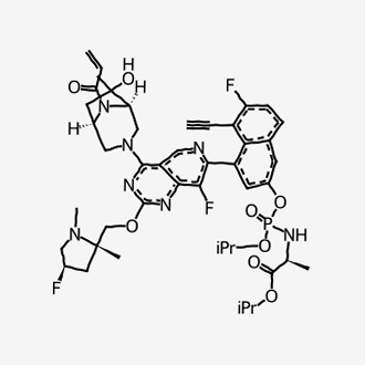 C#Cc1c(F)ccc2cc(OP(=O)(N[C@@H](C)C(=O)OC(C)C)OC(C)C)cc(-c3ncc4c(N5C[C@H]6CC(C)(O)[C@@H](C5)N6C(=O)C=C)nc(OC[C@]5(C)C[C@@H](F)CN5C)nc4c3F)c12